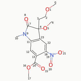 COCCC1(OC)C(=O)N(C)c2cc(C(=O)OC)c([N+](=O)[O-])cc21